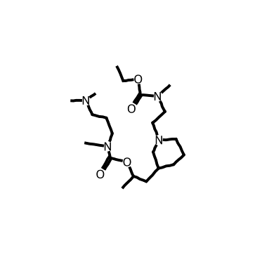 CCOC(=O)N(C)CCN1CCCC(CC(C)OC(=O)N(C)CCCN(C)C)C1